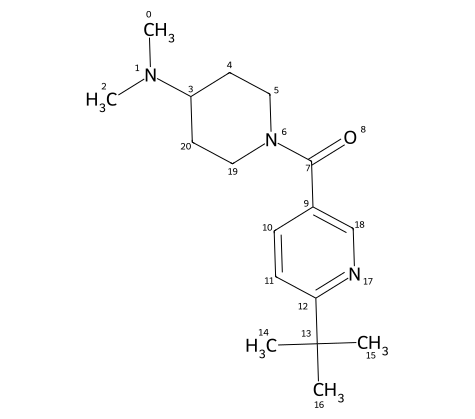 CN(C)C1CCN(C(=O)c2ccc(C(C)(C)C)nc2)CC1